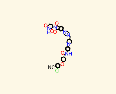 N#Cc1ccc(O[C@H]2CC[C@H](C(=O)Nc3ccc(N4CCC(CN5CCN(c6ccc7c(c6)C(=O)N(C6CCC(=O)NC6=O)C7=O)CC5)CC4)cc3)CC2)cc1Cl